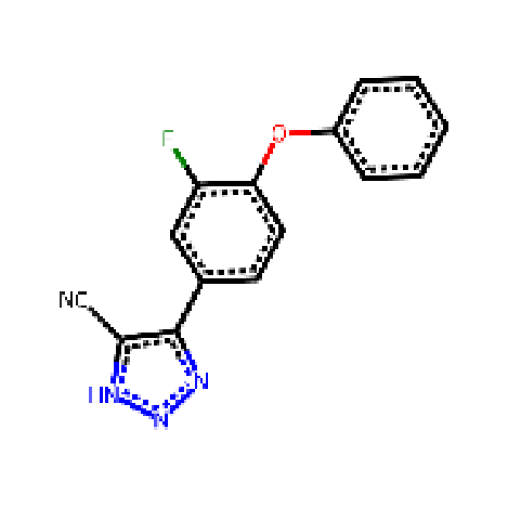 N#Cc1[nH]nnc1-c1ccc(Oc2ccccc2)c(F)c1